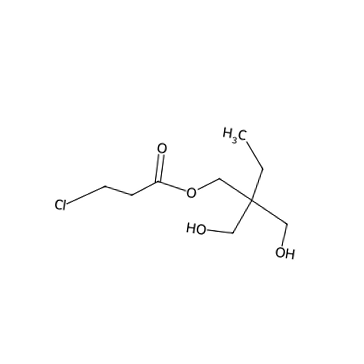 CCC(CO)(CO)COC(=O)CCCl